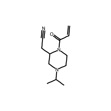 C=CC(=O)N1CCN(C(C)C)CC1CC#N